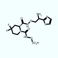 NC(CONC(=O)[C@@H]1CC(F)(F)CCN1C(=O)NOS(=O)(=O)O)c1nccs1